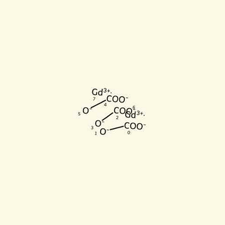 O=C([O-])[O-].O=C([O-])[O-].O=C([O-])[O-].[Gd+3].[Gd+3]